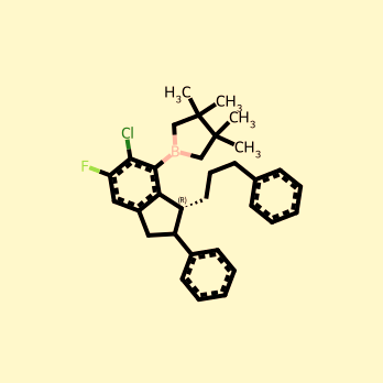 CC1(C)CB(c2c(Cl)c(F)cc3c2[C@H](CCCc2ccccc2)C(c2ccccc2)C3)CC1(C)C